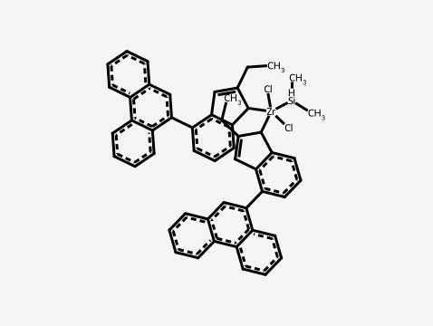 CCC1=Cc2c(-c3cc4ccccc4c4ccccc34)cccc2[CH]1[Zr]([Cl])([Cl])([CH]1C(CC)=Cc2c(-c3cc4ccccc4c4ccccc34)cccc21)[SiH](C)C